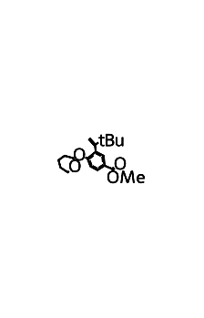 C=C(c1cc(C(=O)OC)ccc1OC1CCCCO1)C(C)(C)C